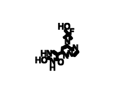 O=C1NC(O)NC=C1c1cc(N2CC(F)(CO)C2)c2nccn2n1